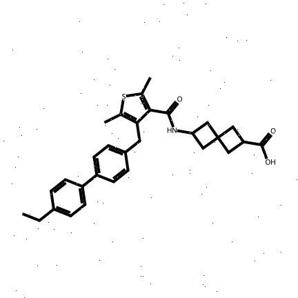 CCc1ccc(-c2ccc(Cc3c(C)sc(C)c3C(=O)NC3CC4(C3)CC(C(=O)O)C4)cc2)cc1